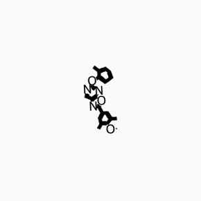 Cc1ccccc1Oc1ncc2nc(-c3cc(C)c([O])c(C)c3)oc2n1